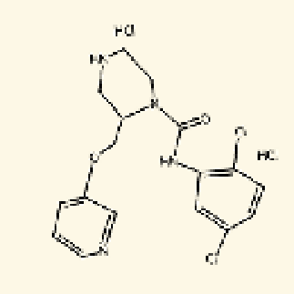 Cl.Cl.O=C(Nc1cc(Cl)ccc1Cl)N1CCNCC1COc1cccnc1